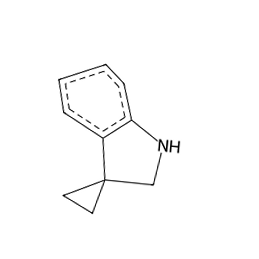 c1ccc2c(c1)NCC21CC1